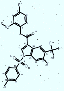 COc1cc(F)ccc1CC(=O)c1cn(S(=O)(=O)c2ccc(C)cc2)c2cc(F)c(C(F)(F)F)cc12